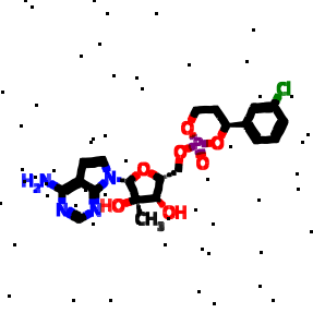 C[C@@]1(O)[C@H](O)[C@@H](COP2(=O)OCC[C@@H](c3cccc(Cl)c3)O2)O[C@H]1n1ccc2c(N)ncnc21